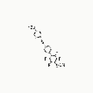 CCCCc1ccc(C#Cc2ccc(-c3c(F)c(F)c(SC#N)c(F)c3F)cc2)c(C)c1